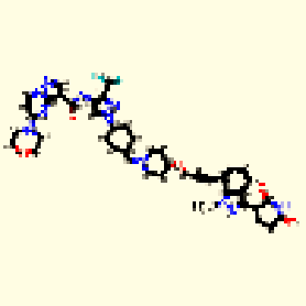 Cn1nc(C2CCC(=O)NC2=O)c2cccc(C#CCOC3CCN(CC4CCC(n5cc(NC(=O)c6cnn7ccc(N8CCOCC8)nc67)c(C(F)F)n5)CC4)CC3)c21